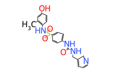 Cc1cc(O)ccc1NS(=O)(=O)c1ccc(NC(=O)NCc2cccnc2)cc1